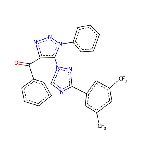 O=C(c1ccccc1)c1nnn(-c2ccccc2)c1-n1cnc(-c2cc(C(F)(F)F)cc(C(F)(F)F)c2)n1